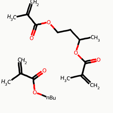 C=C(C)C(=O)OCCC(C)OC(=O)C(=C)C.C=C(C)C(=O)OCCCC